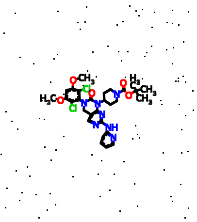 COc1cc(OC)c(Cl)c(N2Cc3cnc(Nc4ccccn4)nc3N(C3CCN(C(=O)OC(C)(C)C)CC3)C2=O)c1Cl